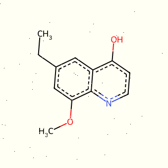 CCc1cc(OC)c2nccc(O)c2c1